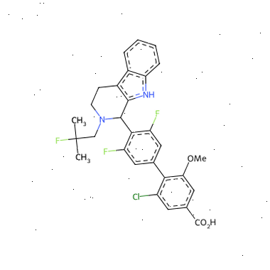 COc1cc(C(=O)O)cc(Cl)c1-c1cc(F)c(C2c3[nH]c4ccccc4c3CCN2CC(C)(C)F)c(F)c1